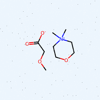 COCC(=O)[O-].C[N+]1(C)CCOCC1